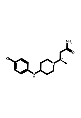 C[C@H](CC(N)=O)N1CCC(Nc2ccc(Cl)cc2)CC1